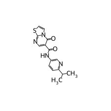 CC(C)c1ccc(NC(=O)c2cnc3sccn3c2=O)cn1